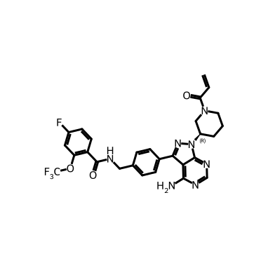 C=CC(=O)N1CCC[C@@H](n2nc(-c3ccc(CNC(=O)c4ccc(F)cc4OC(F)(F)F)cc3)c3c(N)ncnc32)C1